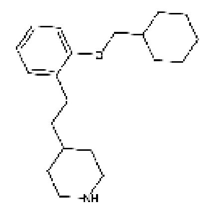 c1ccc(OCC2CCCCC2)c(CCC2CCNCC2)c1